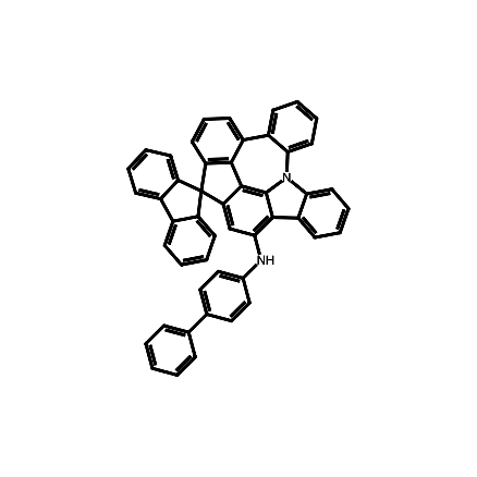 c1ccc(-c2ccc(Nc3cc4c5c6c3c3ccccc3n6-c3ccccc3-c3cccc(c3-5)C43c4ccccc4-c4ccccc43)cc2)cc1